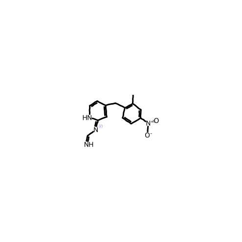 Cc1cc([N+](=O)[O-])ccc1Cc1cc[nH]/c(=N\C=N)c1